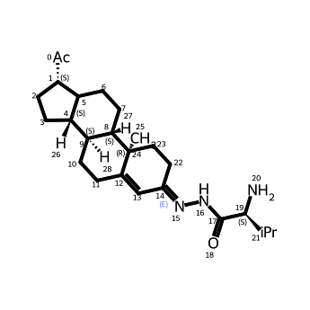 CC(=O)[C@H]1CC[C@@H]2C1CC[C@H]1[C@H]2CCC2=C/C(=N/NC(=O)[C@@H](N)C(C)C)CC[C@@]21C